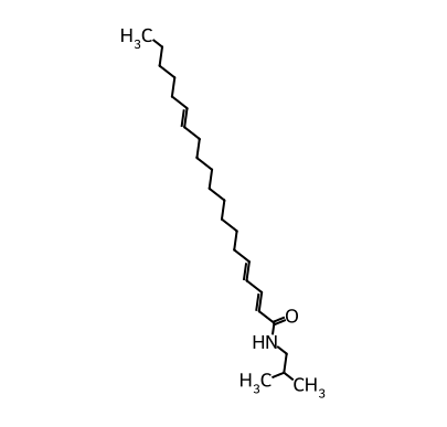 CCCCCC=CCCCCCCCCC=CC=CC(=O)NCC(C)C